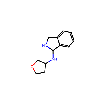 c1ccc2c(c1)CNC2NC1CCOC1